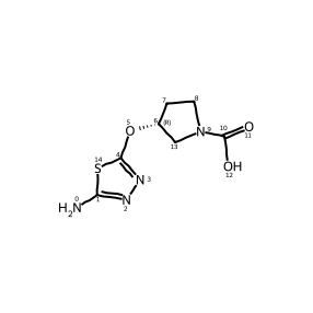 Nc1nnc(O[C@@H]2CCN(C(=O)O)C2)s1